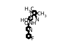 Cc1cc(C)c(C#N)c(N2C[C@H](NC(=O)c3ccc(-c4cccc(F)c4)nc3)[C@@H](O)C2)n1